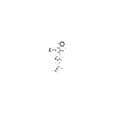 COC(=O)C1=C(CN2CC(F)(F)[C@H]3[C@@H]2CON3C[C@H](OC)C(C)(C)C(=O)O)NC(c2nc(C)cs2)=N[C@H]1c1ccc(F)c(F)c1C